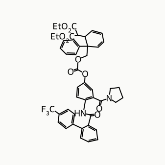 CCOC(=O)C(C(=O)OCC)C1C=CC=CC1(COC(=O)Oc1ccc(NC(=O)c2ccccc2-c2ccc(C(F)(F)F)cc2)c(C(=O)N2CCCC2)c1)c1ccccc1